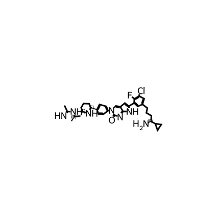 CC(=N)N[C@H](C)C[C@@H]1CCC[C@@H](c2ccc(-n3cc4cc(-c5cc(CCC[C@@H](N)C6CC6)cc(Cl)c5F)[nH]c4nc3=O)cc2)N1